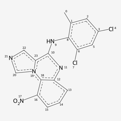 Cc1cc(Cl)cc(Cl)c1Nc1nc2cccc([N+](=O)[O-])c2n2cncc12